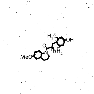 COc1ccc2c(c1)CCCN2C(=O)C(N)Cc1c(C)cc(O)cc1C